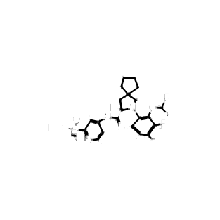 C[S@@](=N)(=O)c1cc(NC(=O)[C@H]2CC3(CCCC3)CN2c2ccc(F)c(F)c2OC(F)F)ccn1